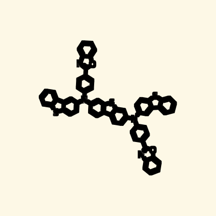 c1ccc2oc(-c3ccc(N(c4ccc5c(c4)sc4cc(N(c6ccc(-c7nc8ccccc8o7)cc6)c6ccc7sc8ccccc8c7c6)ccc45)c4ccc5sc6ccccc6c5c4)cc3)nc2c1